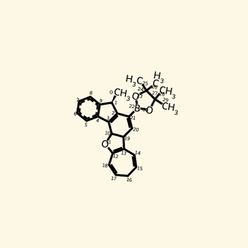 C[C@H]1C2=C(c3ccccc31)C1OC3=C(C=CCC=C3)C1C=C2B1OC(C)(C)C(C)(C)O1